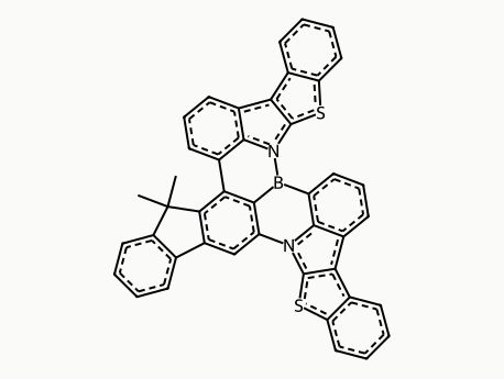 CC1(C)c2ccccc2-c2cc3c4c(c21)-c1cccc2c5c6ccccc6sc5n(c12)B4c1cccc2c4c5ccccc5sc4n-3c12